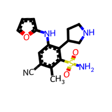 Cc1c(C#N)cc(Nc2ccco2)c(C2CCNC2)c1S(N)(=O)=O